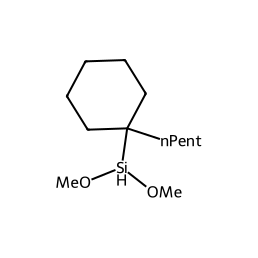 CCCCCC1([SiH](OC)OC)CCCCC1